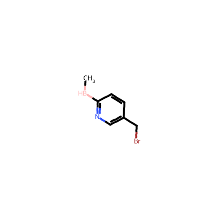 CBc1ccc(CBr)cn1